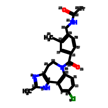 Cc1nc2c([nH]1)-c1cc(Cl)ccc1N(C(=O)c1ccc(CNC(=O)C(C)C)c(C)c1)CC2